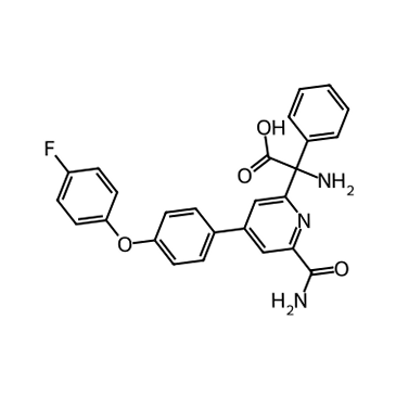 NC(=O)c1cc(-c2ccc(Oc3ccc(F)cc3)cc2)cc(C(N)(C(=O)O)c2ccccc2)n1